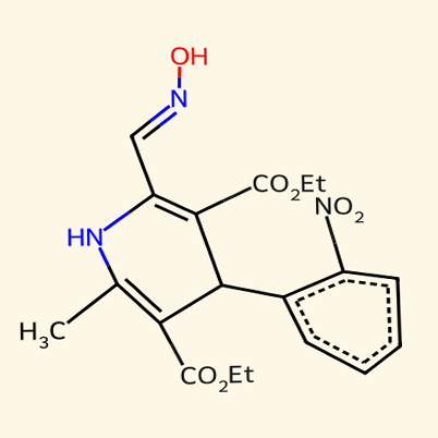 CCOC(=O)C1=C(C)NC(C=NO)=C(C(=O)OCC)C1c1ccccc1[N+](=O)[O-]